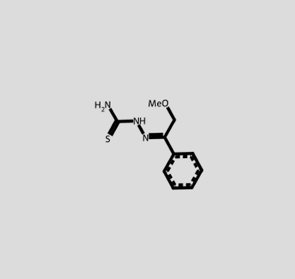 COCC(=NNC(N)=S)c1ccccc1